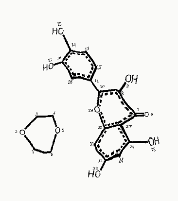 C1COCCO1.O=c1c(O)c(-c2ccc(O)c(O)c2)oc2cc(O)cc(O)c12